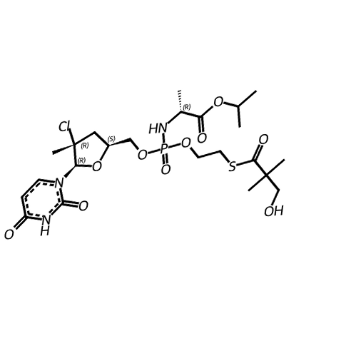 CC(C)OC(=O)[C@@H](C)NP(=O)(OCCSC(=O)C(C)(C)CO)OC[C@@H]1C[C@@](C)(Cl)[C@H](n2ccc(=O)[nH]c2=O)O1